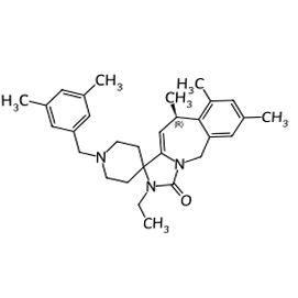 CCN1C(=O)N2Cc3cc(C)cc(C)c3[C@H](C)C=C2C12CCN(Cc1cc(C)cc(C)c1)CC2